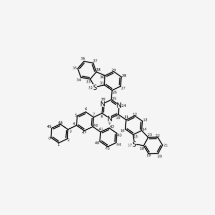 c1ccc(-c2ccc(-c3nc(-c4ccc5c(c4)sc4ccccc45)nc(-c4cccc5c4sc4ccccc45)n3)c(-c3ccccc3)c2)cc1